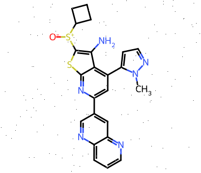 Cn1nccc1-c1cc(-c2cnc3cccnc3c2)nc2sc([S+]([O-])C3CCC3)c(N)c12